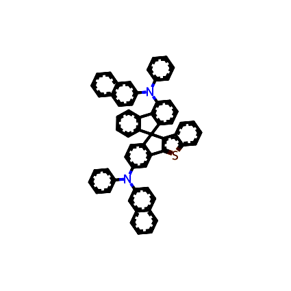 c1ccc(N(c2ccc3c(c2)-c2sc4ccccc4c2C32c3ccccc3-c3c(N(c4ccccc4)c4ccc5ccccc5c4)cccc32)c2ccc3ccccc3c2)cc1